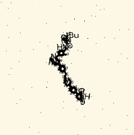 Cc1cc(-c2ncnn3cc(-c4ccc(CCN5CCC(c6ccc(C7CCC(=O)NC7=O)cc6)CC5)cc4)cc23)ccc1CNC(=O)c1noc(C(C)(C)C)n1